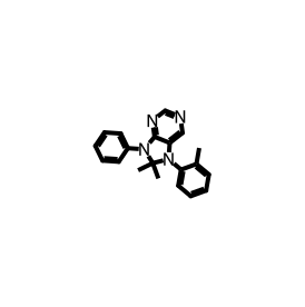 Cc1ccccc1N1c2cncnc2N(c2ccccc2)C1(C)C